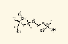 CCOP(=O)(CC(C)(CC)OCCC(C)(O)CC)OCC